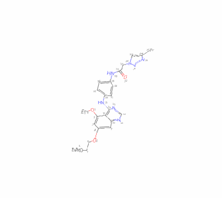 CCOc1cc(OCCOC)cc2ncnc(Nc3ccc(NC(=O)Cn4cc(C(C)C)nn4)cc3)c12